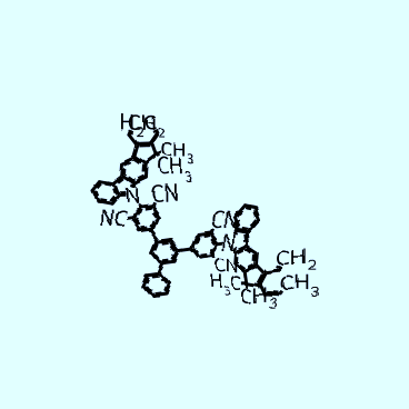 C=CC1=C(C=C)C(C)(C)c2cc3c(cc21)c1ccccc1n3-c1c(C#N)cc(-c2cc(-c3ccccc3)cc(-c3cc(C#N)c(-n4c5ccccc5c5cc6c(cc54)C(C)(C)C(/C=C\C)=C6C=C)c(C#N)c3)c2)cc1C#N